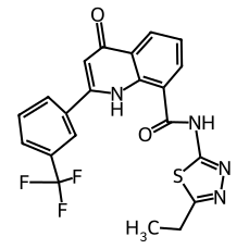 CCc1nnc(NC(=O)c2cccc3c(=O)cc(-c4cccc(C(F)(F)F)c4)[nH]c23)s1